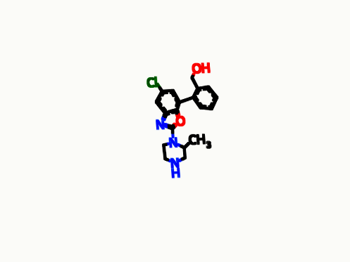 CC1CNCCN1c1nc2cc(Cl)cc(-c3ccccc3CO)c2o1